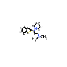 CN(C)CCC(c1cc2ccccc2s1)N1CCCCC1